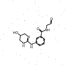 O=CCNC(=O)c1cccc(NC2=NCC(O)CN2)c1